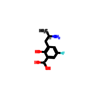 N[C@@H](Cc1cc(F)cc(B(O)O)c1O)C(=O)O